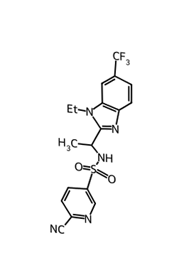 CCn1c(C(C)NS(=O)(=O)c2ccc(C#N)nc2)nc2ccc(C(F)(F)F)cc21